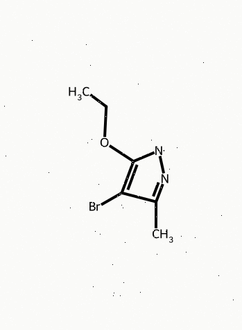 CCOC1=C(Br)C(C)=N[N]1